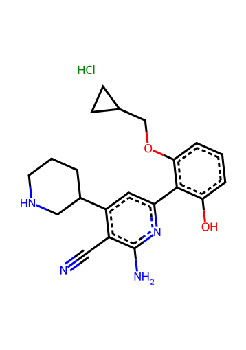 Cl.N#Cc1c(C2CCCNC2)cc(-c2c(O)cccc2OCC2CC2)nc1N